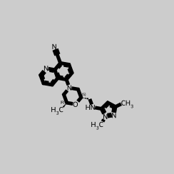 Cc1cc(NC[C@H]2CN(c3ccc(C#N)c4ncccc34)C[C@@H](C)O2)n(C)n1